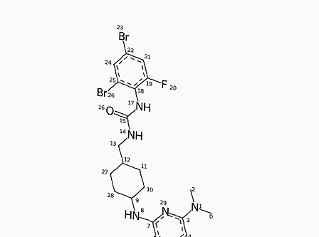 CN(C)c1ccnc(NC2CCC(CNC(=O)Nc3c(F)cc(Br)cc3Br)CC2)n1